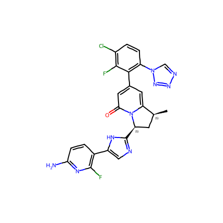 C[C@H]1C[C@@H](c2ncc(-c3ccc(N)nc3F)[nH]2)n2c1cc(-c1c(-n3cnnn3)ccc(Cl)c1F)cc2=O